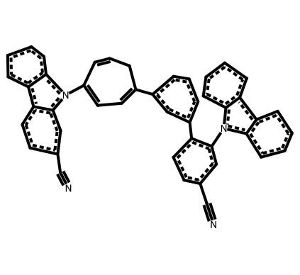 N#Cc1ccc(-c2cccc(C3=CC=C(n4c5ccccc5c5ccc(C#N)cc54)C=CC3)c2)c(-n2c3ccccc3c3ccccc32)c1